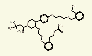 COc1ccccc1COCCCOc1ccc(C2CCN(C(=O)OC(C)(C)C)CC2OCCOc2ccccc2CCNC(C)=O)cc1